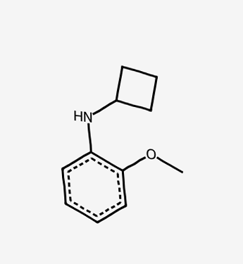 COc1ccccc1NC1CCC1